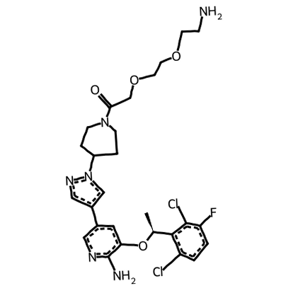 C[C@H](Oc1cc(-c2cnn(C3CCN(C(=O)COCCOCCN)CC3)c2)cnc1N)c1c(Cl)ccc(F)c1Cl